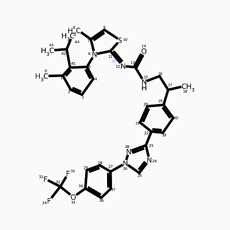 Cc1cccc(-n2c(C)cs/c2=N\C(=O)NCC(C)c2ccc(-c3ncn(-c4ccc(OC(F)(F)F)cc4)n3)cc2)c1C(C)C